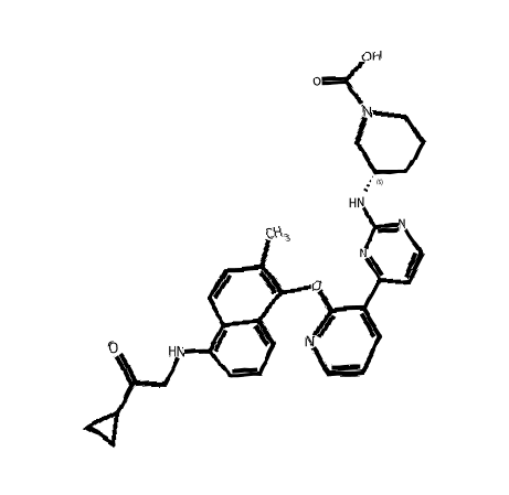 Cc1ccc2c(NCC(=O)C3CC3)cccc2c1Oc1ncccc1-c1ccnc(N[C@H]2CCCN(C(=O)O)C2)n1